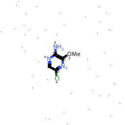 COc1nc(Cl)cnc1N